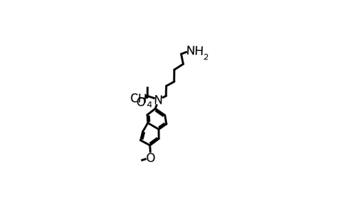 C.COc1ccc2cc(N(CCCCCCN)C(C)=O)ccc2c1